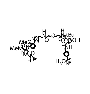 CNC(=O)c1nnc(NC(=O)C2CC2)cc1Nc1cccc(-c2ncn(CCNC(=O)CCOCCC(=O)N[C@H](C(=O)N3C[C@H](O)C[C@H]3C(=O)NCc3ccc(-c4scnc4C)cc3)C(C)(C)C)n2)c1OC